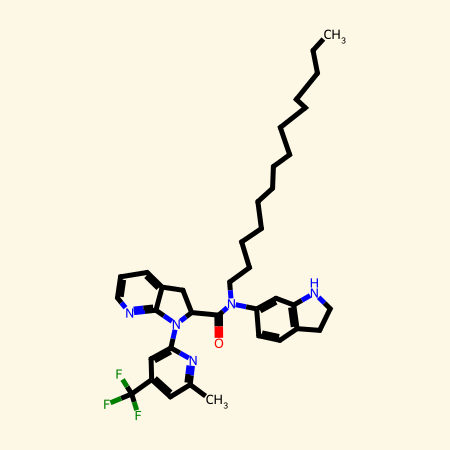 CCCCCCCCCCCCCCN(C(=O)C1Cc2cccnc2N1c1cc(C(F)(F)F)cc(C)n1)c1ccc2c(c1)NCC2